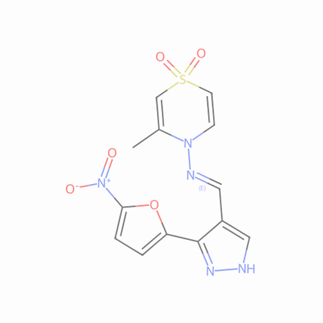 CC1=CS(=O)(=O)C=CN1/N=C/c1c[nH]nc1-c1ccc([N+](=O)[O-])o1